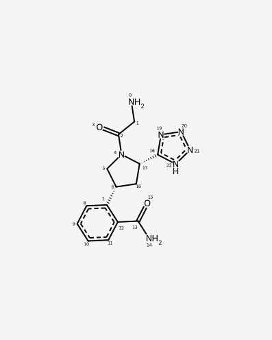 NCC(=O)N1C[C@@H](c2ccccc2C(N)=O)C[C@H]1c1nnn[nH]1